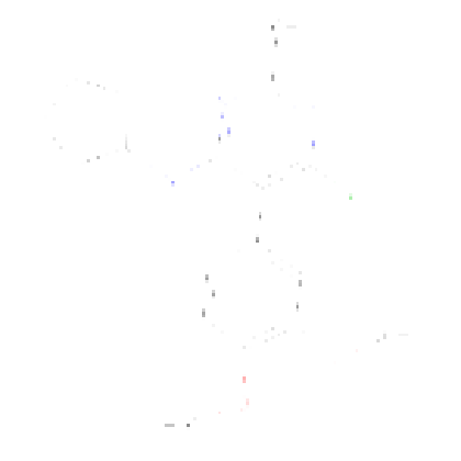 COc1ccc(-c2c(Cl)nc(C)nc2NC2CCCC2)cc1OC